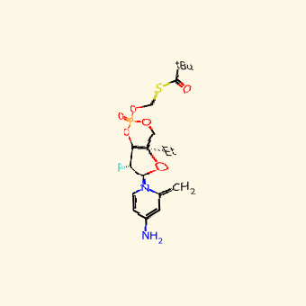 C=C1C=C(N)C=CN1[C@@H]1O[C@]2(CC)COP(=O)(OCSC(=O)C(C)(C)C)OC2[C@H]1F